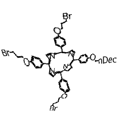 CCCCCCCCCCCOc1ccc(C2=C3C=CC(=N3)C(c3ccc(OCCCBr)cc3)=C3C=CC(=N3)C(c3ccc(OCCCBr)cc3)=C3C=CC(=N3)C(c3ccc(OCCCBr)cc3)=C3C=CC2=N3)cc1